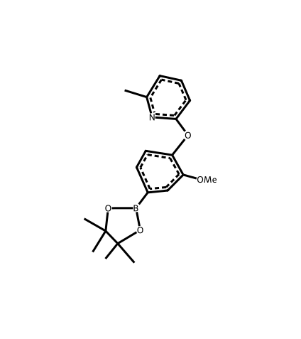 COc1cc(B2OC(C)(C)C(C)(C)O2)ccc1Oc1cccc(C)n1